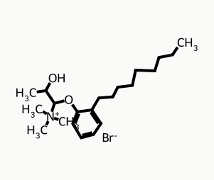 CCCCCCCCCc1ccccc1OC(C(C)O)[N+](C)(C)C.[Br-]